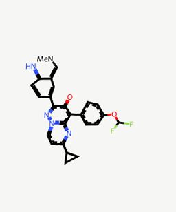 CN/C=C1/C=C(c2nn3ccc(C4CC4)nc3c(-c3ccc(OC(F)F)cc3)c2=O)C=CC1=N